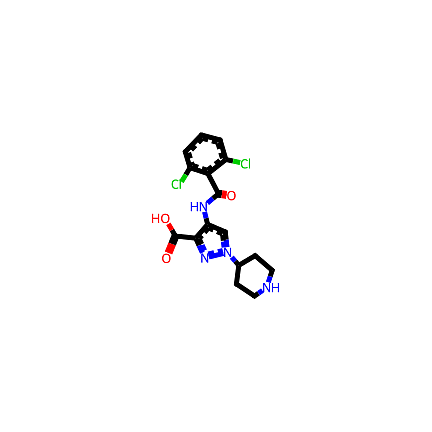 O=C(O)c1nn(C2CCNCC2)cc1NC(=O)c1c(Cl)cccc1Cl